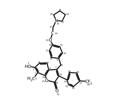 Cc1c(O)ccc2c(Cc3ccc(OCCN4CCCC4)cc3)c(-c3ccc(C(F)(F)F)cc3)c(=O)oc12